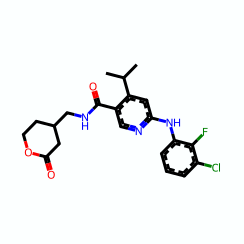 CC(C)c1cc(Nc2cccc(Cl)c2F)ncc1C(=O)NCC1CCOC(=O)C1